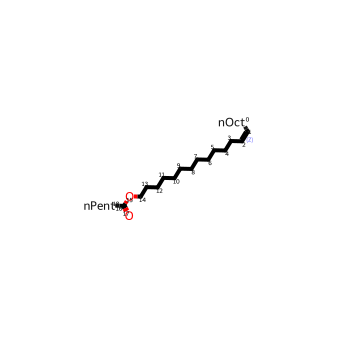 CCCCCCCC/C=C\CCCCCCCCCCCCOC(=O)CCCCC